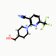 N#Cc1ccc(C(F)(F)F)nc1N1CCC(CO)CC1